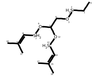 CC[SiH2]OCC(O[SiH2]C=C(C)C)O[SiH2]C=C(C)C